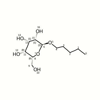 CCCCCO[C@H]1O[C@H](CO)[C@H](O)[C@H](O)[C@@H]1O